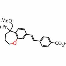 CCCC1(COC)CCCOc2cc(C=Cc3ccc(C(=O)O)cc3)ccc21